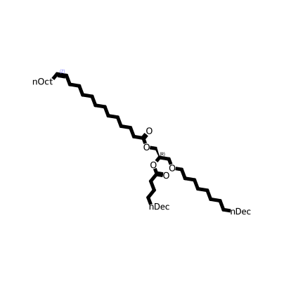 CCCCCCCC/C=C\CCCCCCCCCCCC(=O)OC[C@@H](COCCCCCCCCCCCCCCCCCC)OC(=O)CCCCCCCCCCCCC